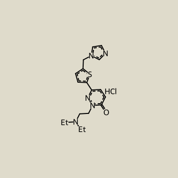 CCN(CC)CCn1nc(-c2ccc(Cn3ccnc3)s2)ccc1=O.Cl